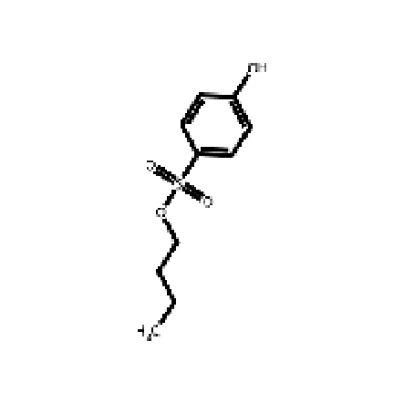 CCCCOS(=O)(=O)c1ccc(O)cc1